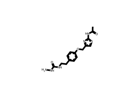 CC(=O)Nc1nc(COc2ccc(CCNC(=O)NN)cc2)cs1